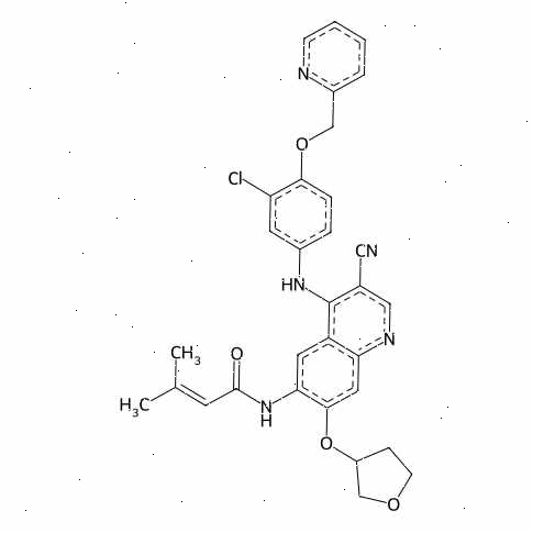 CC(C)=CC(=O)Nc1cc2c(Nc3ccc(OCc4ccccn4)c(Cl)c3)c(C#N)cnc2cc1OC1CCOC1